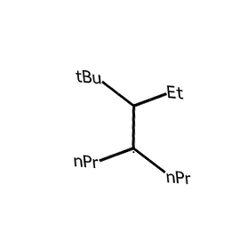 CCC[C](CCC)C(CC)C(C)(C)C